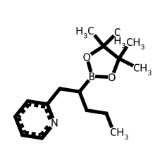 CCCC(Cc1ccccn1)B1OC(C)(C)C(C)(C)O1